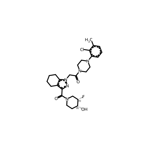 Cc1cccc(N2CCN(C(=O)Cn3nc(C(=O)N4CC[C@@H](O)[C@@H](F)C4)c4c3CCCC4)CC2)c1Cl